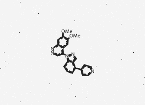 COc1cc2nncc(-n3ncc4c(-c5ccncc5)cccc43)c2cc1OC